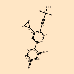 CC(C)(O)C#Cc1nnc(-c2c[nH]c(=O)[nH]c2=O)cc1C1CC1